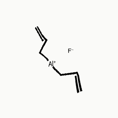 C=C[CH2][Al+][CH2]C=C.[F-]